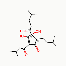 CC(C)CC[C@@H](O)[C@@]1(O)C(O)=C(C(=O)CC(C)C)C(=O)[C@@H]1CCC(C)C